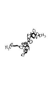 COCCOC(C)c1c(NC(=O)Nc2cnc(OC)c(Cl)c2)cnc2cc(Cl)nn12